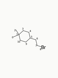 CC1(C)CCC(CCBr)CC1